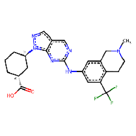 CN1CCc2c(cc(Nc3ncc4cnn([C@@H]5CCC[C@@H](C(=O)O)C5)c4n3)cc2C(F)(F)F)C1